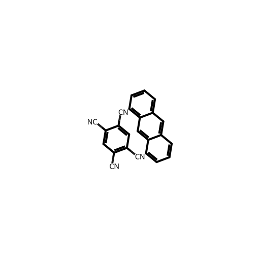 N#Cc1cc(C#N)c(C#N)cc1C#N.c1ccc2cc3ccccc3cc2c1